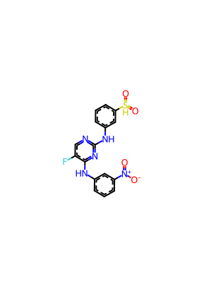 O=[N+]([O-])c1cccc(Nc2nc(Nc3cccc([SH](=O)=O)c3)ncc2F)c1